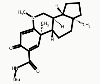 CN1C[C@H]2[C@@H]3CCC[C@@]3(C)CC[C@@H]2[C@@]2(C)C=C(C(=O)NC(C)(C)C)C(=O)C=C12